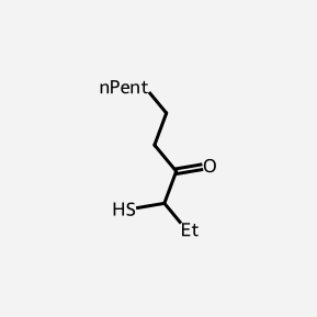 [CH2]CC(S)C(=O)CCCCCCC